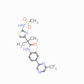 CC(C)(C(=O)Nc1ccc(-c2cncc(C(F)(F)F)n2)cc1F)c1csc(NS(C)(=O)=O)n1